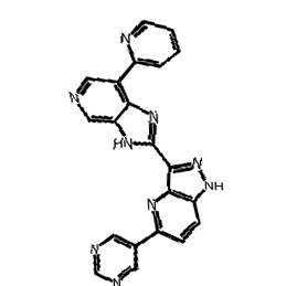 c1ccc(-c2cncc3[nH]c(-c4n[nH]c5ccc(-c6cncnc6)nc45)nc23)nc1